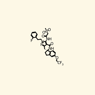 CS(=O)(=O)CC(=O)Nc1c2c(nn1CCc1ccccc1F)C[C@]1(CCc3cc(OCC(F)(F)F)ccc31)NC2=O